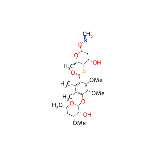 C=NO[C@H]1C[C@H](O)[C@H](SC(=O)c2c(C)c(C)c(O[C@@H]3O[C@@H](C)C[C@@H](OC)[C@H]3O)c(OC)c2OC)[C@@H](C)O1